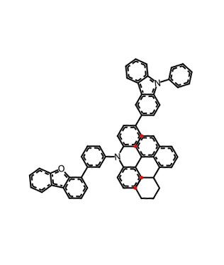 c1ccc(-n2c3ccccc3c3cc(-c4ccc(N(c5cccc(-c6cccc7c6oc6ccccc67)c5)c5ccccc5-c5cccc6cccc(C7CCCCC7)c56)cc4)ccc32)cc1